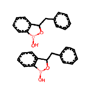 OB1OC(Cc2ccccc2)c2ccccc21.OB1OC(Cc2ccccc2)c2ccccc21